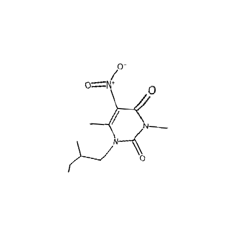 Cc1c([N+](=O)[O-])c(=O)n(C)c(=O)n1CC(C)C